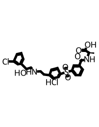 C[C@@H](NC(=O)c1cccc(S(=O)(=O)c2ccc(CCNC[C@H](O)c3cccc(Cl)c3)cc2)c1)C(=O)O.Cl